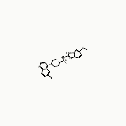 COc1ccc2nc(N[C@H](C)[C@H]3CC[C@@H](c4ccnc5ccc(F)cc54)CC3)[nH]c2c1